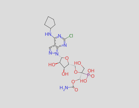 NC(=O)OC[C@@](CO)(OC[C@H]1O[C@@H](n2ncc3c(NC4CCCC4)nc(Cl)nc32)[C@H](O)[C@@H]1O)P(=O)(O)O